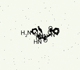 CC#CCn1c(N2CCCC(N)C2)nc(NC)c1C(=O)NCc1nc2ccccc2c(=O)o1